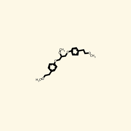 COCCc1ccc(OCC(COc2ccc(CCOC)cc2)OC)cc1